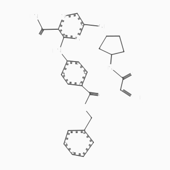 C=CC(=O)NC1CC[C@@H](Nc2cnc(C(N)=O)c(Nc3ccc(C(=O)OCc4ccccc4)cc3)n2)C1